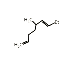 C=CCCC(C)C=CCC